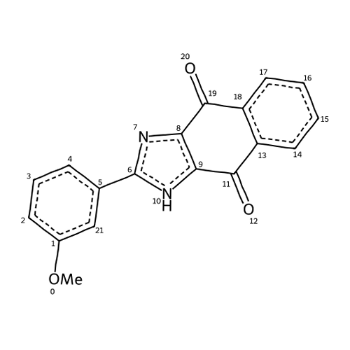 COc1cccc(-c2nc3c([nH]2)C(=O)c2ccccc2C3=O)c1